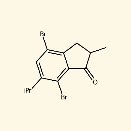 CC1Cc2c(Br)cc(C(C)C)c(Br)c2C1=O